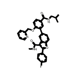 CNC(=O)c1c(-c2ccc(F)cc2)oc2ccc(-c3cc(C(=O)NCC(C)C)ccc3OCc3ccccn3)cc12